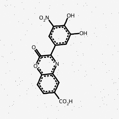 O=C(O)c1ccc2oc(=O)c(-c3cc(O)c(O)c([N+](=O)[O-])c3)nc2c1